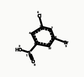 O=S(O)c1cc(Cl)cc(Br)c1